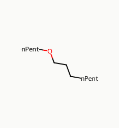 CCCC[CH]OCCCCCCCC